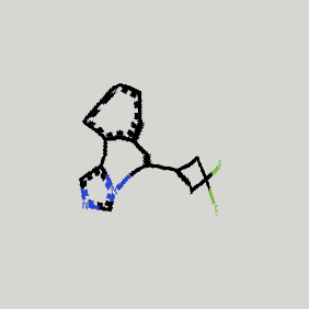 FC1(F)CC(C2c3ccccc3-c3cncn32)C1